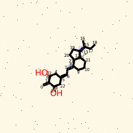 C=C1[C@H](O)CC(=C/C=C2\CCC[C@]3(C)/C(=C(/C)CC)CCC23)C[C@H]1O